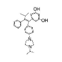 CC(C)/C(=C(/c1ccc(N2CCN(C(C)C)CC2)cc1)c1cc(O)cc(O)c1)c1ccccc1